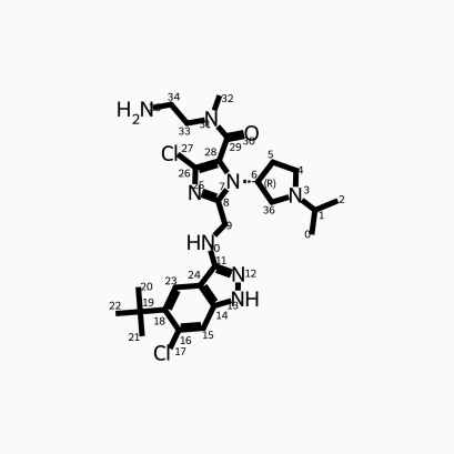 CC(C)N1CC[C@@H](n2c(CNc3n[nH]c4cc(Cl)c(C(C)(C)C)cc34)nc(Cl)c2C(=O)N(C)CCN)C1